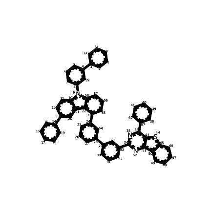 c1ccc(-c2cccc(-n3c4ccc(-c5ccccc5)cc4c4c(-c5cccc(-c6cccc(-c7nc(-c8ccccc8)c8sc9ccccc9c8n7)c6)c5)cccc43)c2)cc1